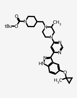 CC1CN(c2cc(-c3n[nH]c4ccc(OC5(C)CC5)cc34)ncn2)CCN1CC1CCN(C(=O)OC(C)(C)C)CC1